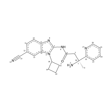 C[C@](N)(CC(=O)Nc1nc2ccc(C#N)cc2n1C1CCC1)c1ccccn1